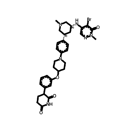 CN1C[C@H](Nc2cnn(C)c(=O)c2Br)C[C@H](c2ccc(N3CCC(Oc4cccc(C5CCC(=O)NC5=O)c4)CC3)cc2)C1